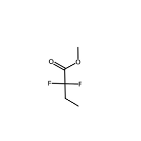 CCC(F)(F)C(=O)OC